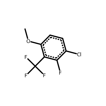 COc1ccc(Cl)c(F)c1C(F)(F)F